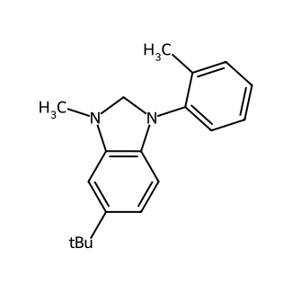 Cc1ccccc1N1CN(C)c2cc(C(C)(C)C)ccc21